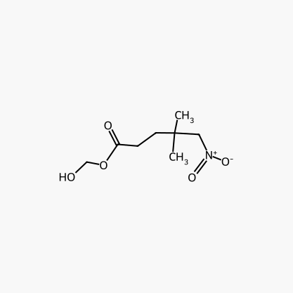 CC(C)(CCC(=O)OCO)C[N+](=O)[O-]